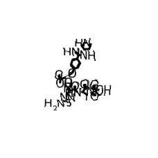 C[C@H]1[C@H](NC(=O)/C(=N\O[C@@H](COc2ccc(C(=N)NC3CCNCC3)cc2)C(=O)O)c2nsc(N)n2)C(=O)N1S(=O)(=O)O